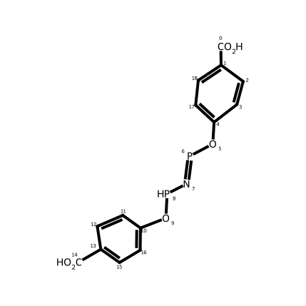 O=C(O)c1ccc(OP=NPOc2ccc(C(=O)O)cc2)cc1